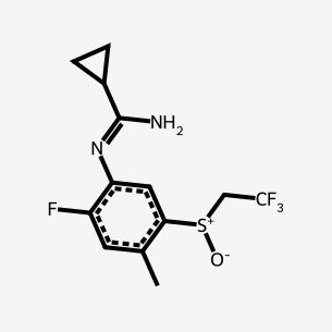 Cc1cc(F)c(/N=C(\N)C2CC2)cc1[S+]([O-])CC(F)(F)F